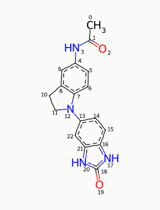 CC(=O)Nc1ccc2c(c1)CCN2c1ccc2[nH]c(=O)[nH]c2c1